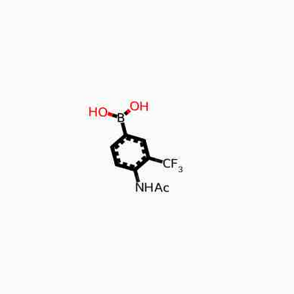 CC(=O)Nc1ccc(B(O)O)cc1C(F)(F)F